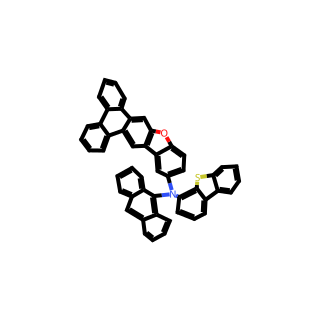 c1ccc2c(N(c3ccc4oc5cc6c7ccccc7c7ccccc7c6cc5c4c3)c3cccc4c3sc3ccccc34)c3ccccc3cc2c1